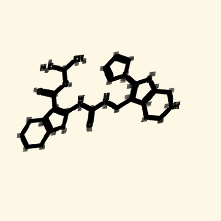 CC(C)OC(=O)c1c(NC(=O)NCc2c(-n3cccc3)sc3c2CCNC3)sc2c1CCCC2